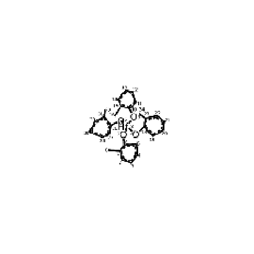 Cc1ccccc1[O][Hf]([O]c1ccccc1C)([O]c1ccccc1C)[O]c1ccccc1C